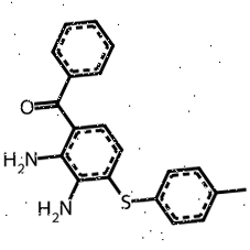 Cc1ccc(Sc2ccc(C(=O)c3ccccc3)c(N)c2N)cc1